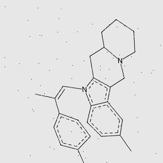 C/C(=C/n1c2c(c3cc(C)ccc31)CN1CCCCC1C2)c1ccc(F)cc1